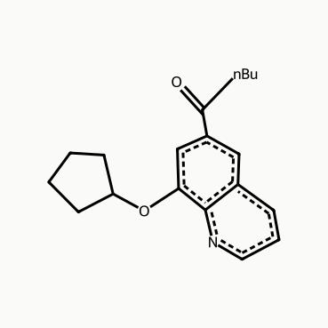 CCCCC(=O)c1cc(OC2CCCC2)c2ncccc2c1